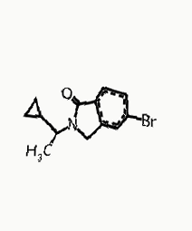 C[C@@H](C1CC1)N1Cc2cc(Br)ccc2C1=O